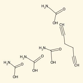 C#CCCC#C.NC(=O)O.NC(=O)O.NC(=O)O.NC(=O)O